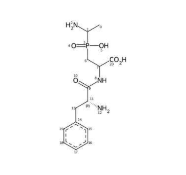 CC(N)P(=O)(O)CC(NC(=O)[C@H](N)Cc1ccccc1)C(=O)O